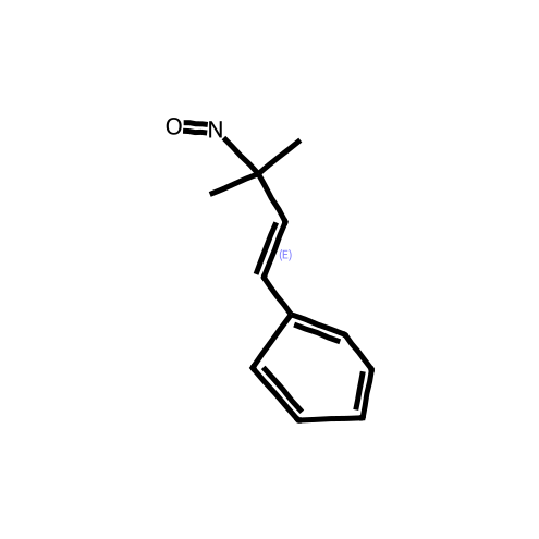 CC(C)(/C=C/c1ccccc1)N=O